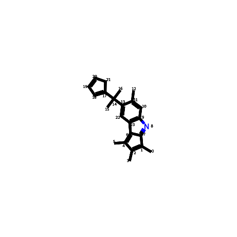 CC1=C(C)C(C)=C2C1=Nc1cc(C)c(C(C)(C)C3=CC=CC3)cc12